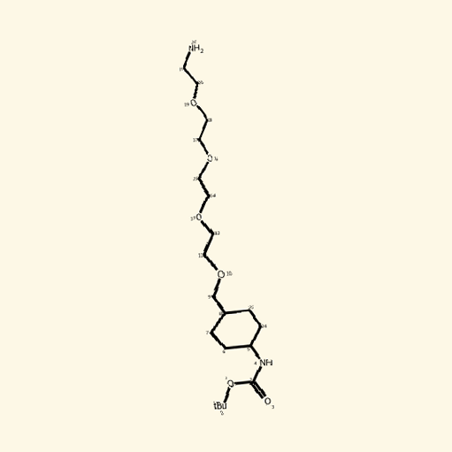 CC(C)(C)OC(=O)NC1CCC(COCCOCCOCCOCCN)CC1